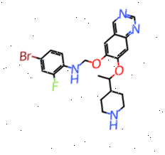 CC(Oc1cc2ncncc2cc1OCNc1ccc(Br)cc1F)C1CCNCC1